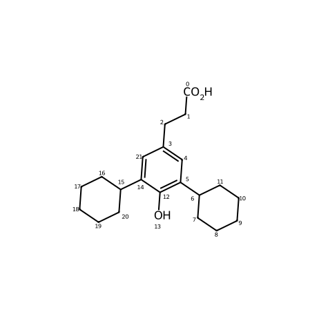 O=C(O)CCc1cc(C2CCCCC2)c(O)c(C2CCCCC2)c1